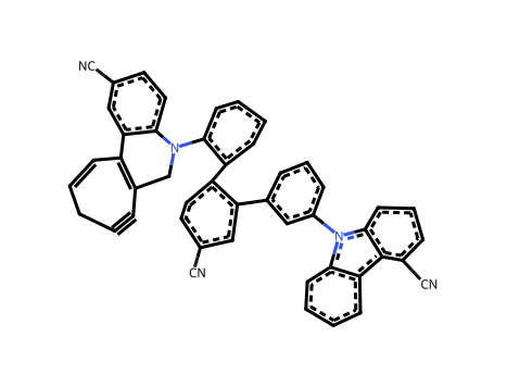 N#Cc1ccc2c(c1)C1=C(C#CCC=C1)CN2c1ccccc1-c1ccc(C#N)cc1-c1cccc(-n2c3ccccc3c3c(C#N)cccc32)c1